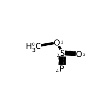 COS(=O)#P